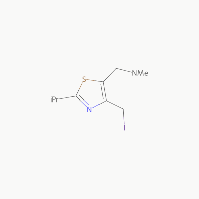 CNCc1sc(C(C)C)nc1CI